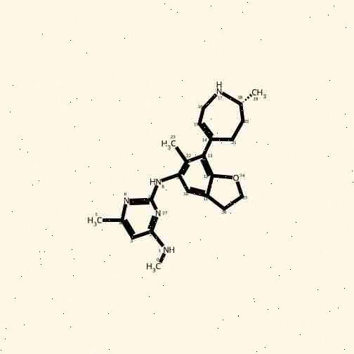 CNc1cc(C)nc(Nc2cc3c(c(C4=CCN[C@H](C)CC4)c2C)OCC3)n1